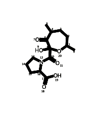 CC1CCC(C)C(=O)C(O)(C(=O)N2CCCC2C(=O)O)O1